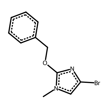 Cn1cc(Br)nc1OCc1ccccc1